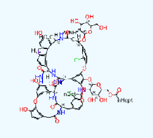 CCCCCCCCC(=O)NC1[C@H](Oc2c3cc4cc2Oc2ccc(cc2Cl)[C@@H](O[C@@H]2OC(CO)[C@@H](O)C(O)[C@@H]2NC(C)=O)CC(=O)N[C@H](C(=O)O)c2cc(O)cc(C)c2-c2cc(ccc2I)[C@H](C(=O)NI)NC(=O)[C@@H]4NC(=O)[C@H]2NC(=O)[C@@H](Cc4ccc(c(Cl)c4)O3)NC(=O)Cc3ccc(O)c(c3)Oc3cc(O)cc2c3)OC(COC(=O)CCCCCCC)[C@@H](O)[C@@H]1O